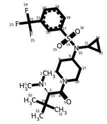 CN(C)[C@H](C(=O)N1CCC(N(C2CC2)S(=O)(=O)c2cccc(C(F)(F)F)c2)CC1)C(C)(C)C